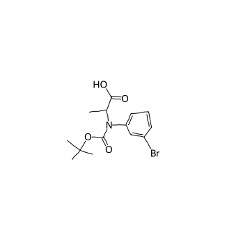 CC(C(=O)O)N(C(=O)OC(C)(C)C)c1cccc(Br)c1